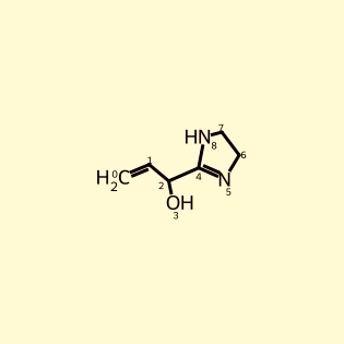 C=CC(O)C1=NCCN1